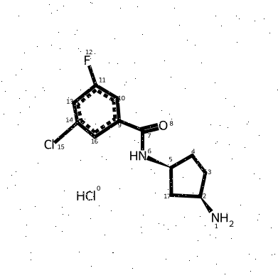 Cl.N[C@@H]1CC[C@H](NC(=O)c2cc(F)cc(Cl)c2)C1